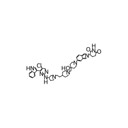 O=C1CCC(n2cc3ccc(N4CCC(O)(CN5CCC(CCN6CC[C@@H](Nc7ncc(Cl)c(-c8c[nH]c9ccccc89)n7)C6)CC5)CC4)cc3c2)C(=O)N1